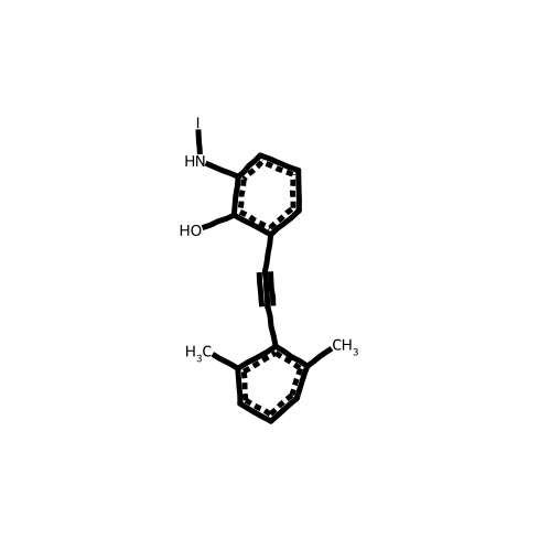 Cc1cccc(C)c1C#Cc1cccc(NI)c1O